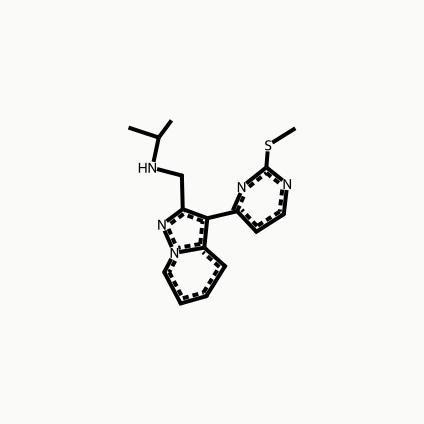 CSc1nccc(-c2c(CNC(C)C)nn3ccccc23)n1